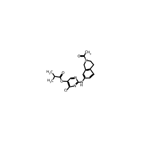 CC(=O)N1CCc2ccc(Nc3ncc(OC(=O)C(C)C)c(Cl)n3)cc2C1